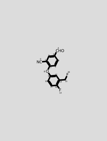 N#Cc1cc(C=O)ccc1Oc1ccc(F)c(CF)c1